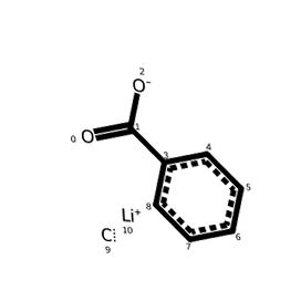 O=C([O-])c1ccccc1.[C].[Li+]